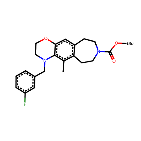 Cc1c2c(cc3c1N(Cc1cccc(F)c1)CCO3)CCN(C(=O)OC(C)(C)C)CC2